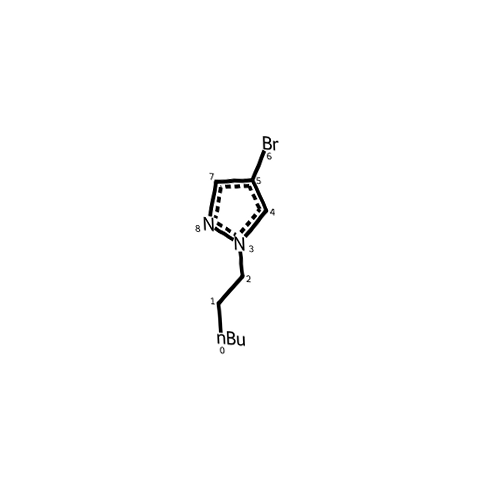 CCCCCCn1cc(Br)cn1